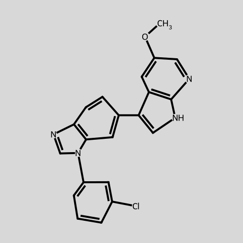 COc1cnc2[nH]cc(-c3ccc4ncn(-c5cccc(Cl)c5)c4c3)c2c1